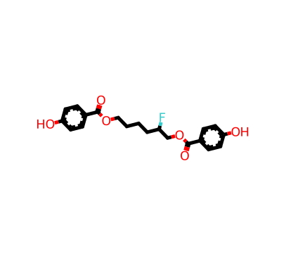 O=C(OCCCCC(F)COC(=O)c1ccc(O)cc1)c1ccc(O)cc1